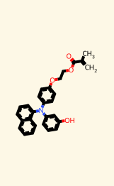 C=C(C)C(=O)OCCOc1ccc(N(c2cccc(O)c2)c2cccc3ccccc23)cc1